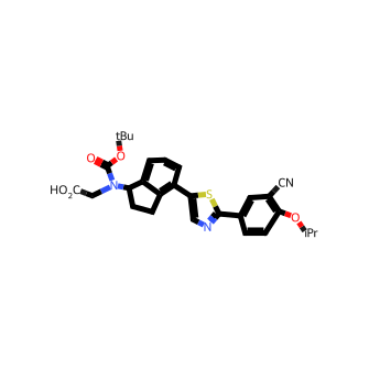 CC(C)Oc1ccc(-c2ncc(-c3cccc4c3CCC4N(CC(=O)O)C(=O)OC(C)(C)C)s2)cc1C#N